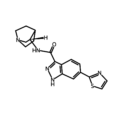 O=C(N[C@@H]1CN2CCC1CC2)c1n[nH]c2cc(-c3nccs3)ccc12